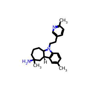 Cc1ccc2c(c1)[C@@H]1CC(C)(N)CCCC1N2CCc1ccc(C)nc1